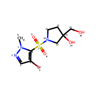 Cn1ncc(Br)c1S(=O)(=O)N1CCC(O)(CO)C1